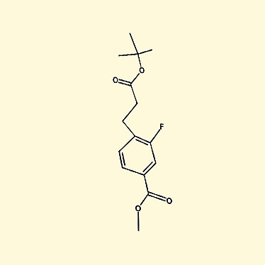 COC(=O)c1ccc(CCC(=O)OC(C)(C)C)c(F)c1